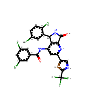 O=C(Nc1cc(-c2cnc(C(F)(F)F)s2)nc2c1C(c1cc(F)ccc1Cl)NC2=O)c1cc(F)cc(Cl)c1